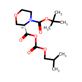 CC(C)COC(=O)OC(=O)[C@@H]1COCCN1C(=O)OC(C)(C)C